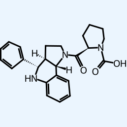 O=C(O)N1CCCC[C@@H]1C(=O)N1CC[C@@H]2[C@@H](c3ccccc3)Nc3ccccc3[C@H]21